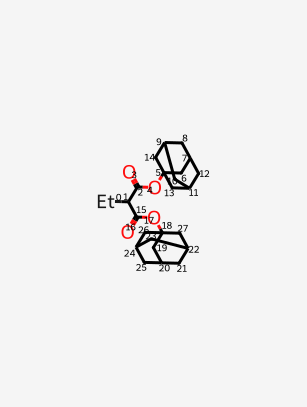 CCC(C(=O)OC12CC3CC(CC(C3)C1)C2)C(=O)OC12CC3CC(CC(C3)C1)C2